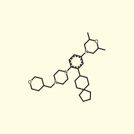 CC1CN(c2ccc(N3CCN(CC4CCOCC4)CC3)c(C3CCC4(CCCC4)CC3)c2)CC(C)O1